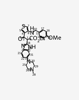 CCOC(=O)C(C(=O)c1cscc1NCc1ccc(OC)cc1)c1nc2ccc(N3CCN(C)CC3)cc2[nH]1